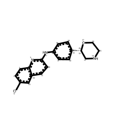 Clc1ccc2nc(Nc3ccc([C@H]4CNCCO4)cc3)ccc2c1